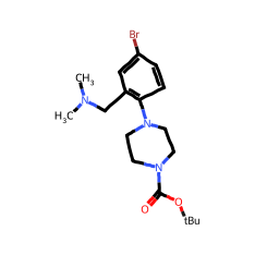 CN(C)Cc1cc(Br)ccc1N1CCN(C(=O)OC(C)(C)C)CC1